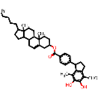 Cc1c(O)c(O)c(C=O)c2c1C(c1ccc(C(=O)OC3CCC4(C)C(=CCC5C4CCC4(C)C(CCCCC(C)C)CCC54)C3)cc1)CC2